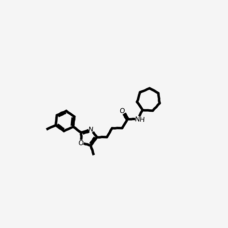 Cc1cccc(-c2nc(CCCC(=O)NC3CCCCCC3)c(C)o2)c1